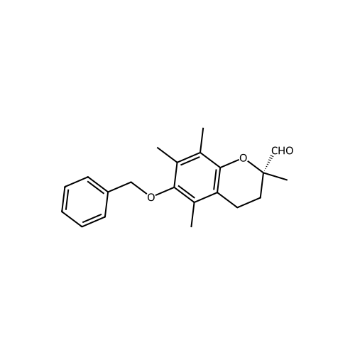 Cc1c(C)c2c(c(C)c1OCc1ccccc1)CC[C@@](C)(C=O)O2